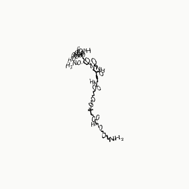 CC(C)(CCOC(=O)NCCOCCOCCN)SSCOCCCCOC(=O)NCC#Cc1cn([C@H]2C[C@H](COCN)C(COP(=O)(O)OP(=O)(O)OP(=O)(O)O)O2)c(=O)[nH]c1=O